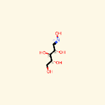 OC[C@@H](O)[C@@H](O)[C@@H](O)/C=N/O